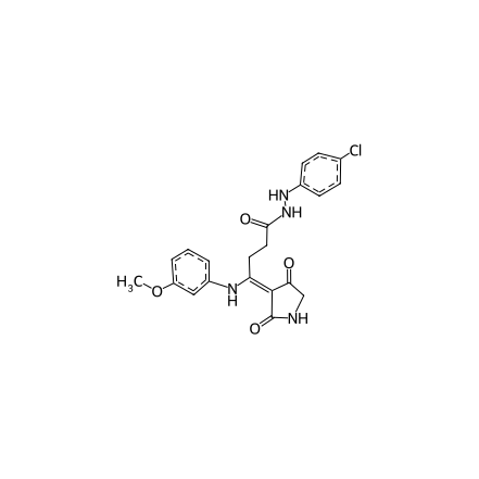 COc1cccc(NC(CCC(=O)NNc2ccc(Cl)cc2)=C2C(=O)CNC2=O)c1